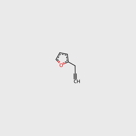 C#CCc1ccco1